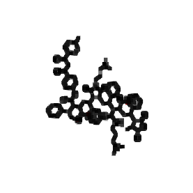 CCC(c1ccccc1)C(C(=O)Oc1ccc(C(=O)CC(=O)c2ccc(C)cc2)cc1)C(CC(c1ccccc1)C1C(=O)N(CCCN(C)C)C(=O)C1CC(c1ccccc1)C(C(=O)NCCCN(C)C)C(CC(c1ccccc1)C1C(=O)OC(=O)C1C)C(=O)O)C(=O)O